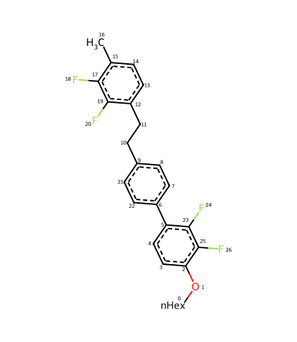 CCCCCCOc1ccc(-c2ccc(CCc3ccc(C)c(F)c3F)cc2)c(F)c1F